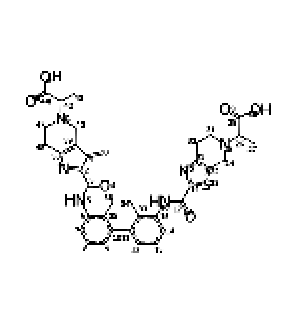 C=C1C(C(=O)Nc2cccc(-c3cccc(NC(=O)c4nc5c(s4)CN(C(C)C(=O)O)CC5)c3C)c2C)=NC2=C1CN(C(C)C(=O)O)CC2